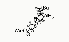 COC(=O)[C@H]1CC[C@H](c2nc3cc(O[Si](C)(C)C(C)(C)C)c(N)cc3o2)CC1